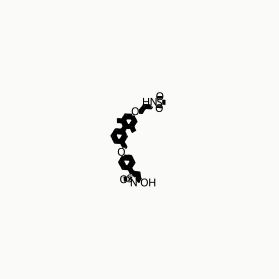 Cc1cc(OCCCNS(C)(=O)=O)cc(C)c1-c1cccc(COc2ccc(-c3cc(O)n[s+]3[O-])cc2)c1